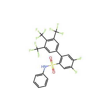 O=S(=O)(Nc1ccccc1)c1cc(F)c(F)cc1-c1cc(C(F)(F)F)c(C(F)(F)F)c(C(F)(F)F)c1